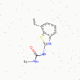 C=Cc1cccc2nc(NC(=O)NCC)sc12